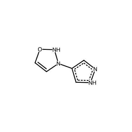 C1=CN(c2cn[nH]c2)NO1